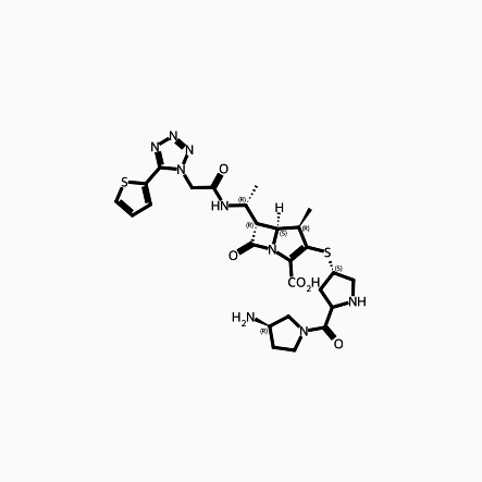 C[C@@H](NC(=O)Cn1nnnc1-c1cccs1)[C@H]1C(=O)N2C(C(=O)O)=C(S[C@@H]3CNC(C(=O)N4CC[C@@H](N)C4)C3)[C@H](C)[C@H]12